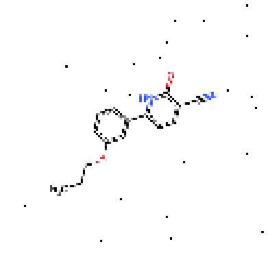 CCCOc1cccc(-c2ccc(C#N)c(=O)[nH]2)c1